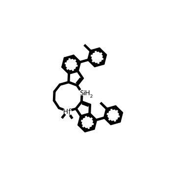 Cc1ccccc1-c1cccc2c1C=C1[SiH2]C3=Cc4c(-c5ccccc5C)cccc4[CH]3[Hf]([CH3])([CH3])[CH2]CCCC12